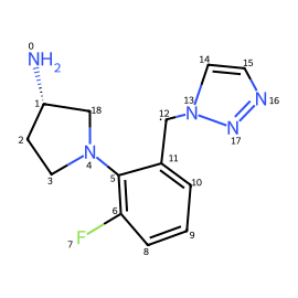 N[C@H]1CCN(c2c(F)cccc2[CH]n2ccnn2)C1